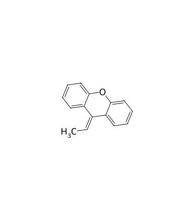 CC=C1c2ccccc2Oc2ccccc21